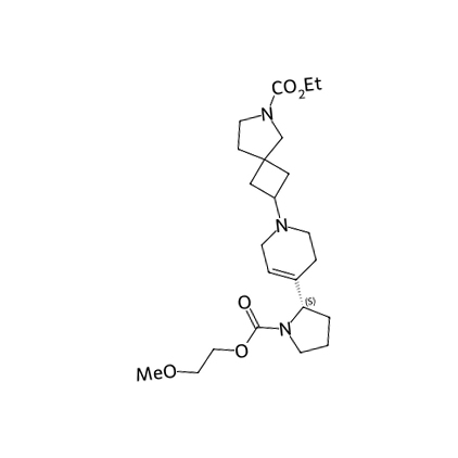 CCOC(=O)N1CCC2(CC(N3CC=C([C@@H]4CCCN4C(=O)OCCOC)CC3)C2)C1